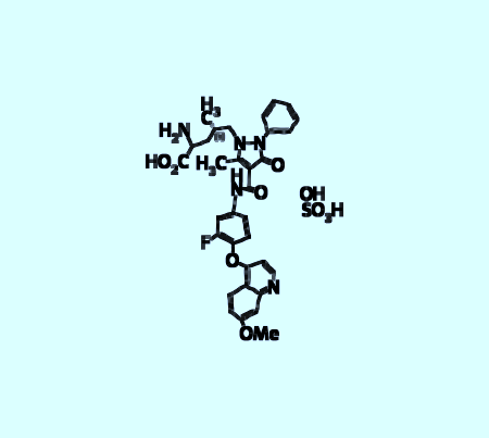 COc1ccc2c(Oc3ccc(NC(=O)c4c(C)n(C[C@@H](C)CC(N)C(=O)O)n(-c5ccccc5)c4=O)cc3F)ccnc2c1.O=S(=O)(O)O